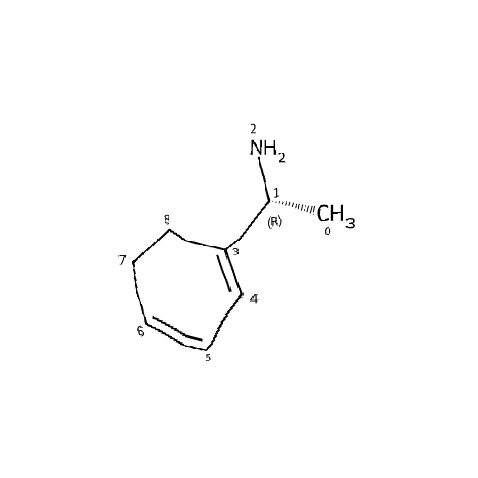 C[C@@H](N)C1=CC=CCC1